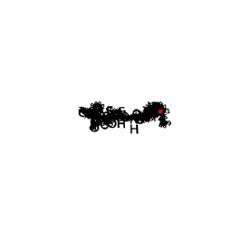 COc1ccc(C(OC[C@H]2O[C@@H](c3cc(COCCNC(=O)OC4CC[C@@]5(C)C(=CC[C@@H]6[C@@H]5CC[C@@]5(C)[C@H]6CC[C@]5(C)[C@H](C)CCCC(C)C)C4)c(F)cc3F)[C@@H](O)C2O)(c2ccccc2)c2ccc(OC)cc2)cc1